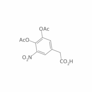 CC(=O)Oc1cc(CC(=O)O)cc([N+](=O)[O-])c1OC(C)=O